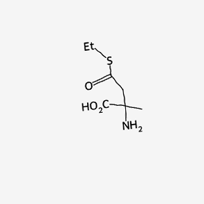 CCSC(=O)CC(C)(N)C(=O)O